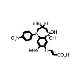 CCCCC1(CC)CN(c2ccc([N+](=O)[O-])cc2)c2cc(SC)c(O/C=C/C(=O)O)cc2S(O)(O)C1